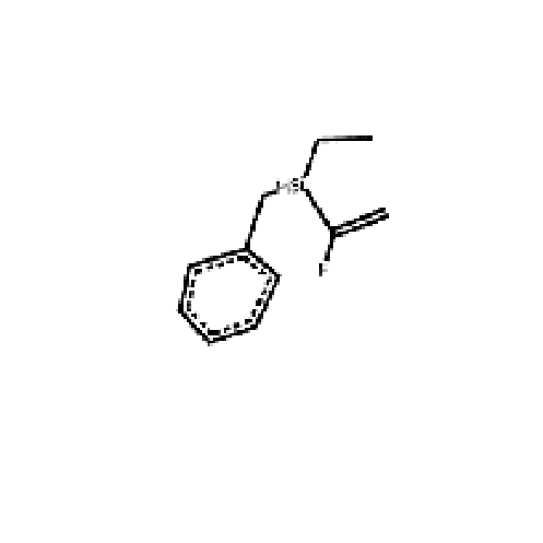 C=C(F)[SiH](CC)Cc1ccccc1